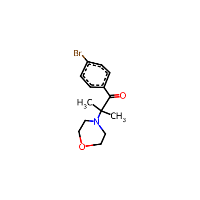 CC(C)(C(=O)c1ccc(Br)cc1)N1CCOCC1